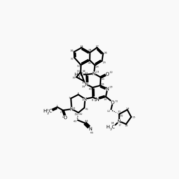 C=CC(=O)N1CCN(c2nc(OC[C@@H]3CCCN3C)nc3c(=O)n(-c4cccc5cccc(C6CC6)c45)c(C)nc23)C[C@@H]1CC#N